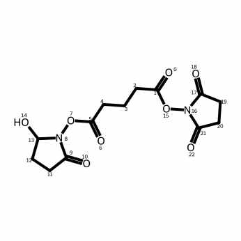 O=C(CCCC(=O)ON1C(=O)CCC1O)ON1C(=O)CCC1=O